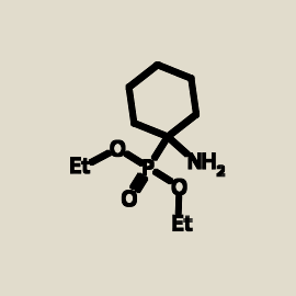 CCOP(=O)(OCC)C1(N)CCCCC1